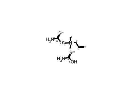 C=CC[N+](C)(C)C.NC(O)=S.NC([O-])=S